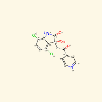 O=C(CC1(O)C(=O)Nc2c(Cl)ccc(Cl)c21)c1ccncc1